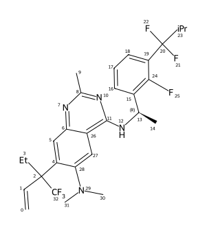 C=CC(CC)(c1cc2nc(C)nc(N[C@H](C)c3cccc(C(F)(F)C(C)C)c3F)c2cc1N(C)C)C(F)(F)F